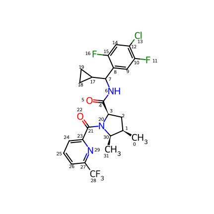 C[C@@H]1C[C@H](C(=O)NC(c2cc(F)c(Cl)cc2F)C2CC2)N(C(=O)c2cccc(C(F)(F)F)n2)[C@@H]1C